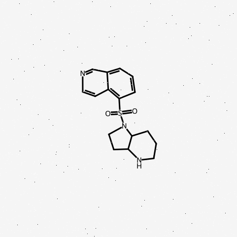 O=S(=O)(c1cccc2cnccc12)N1CCC2NCCCC21